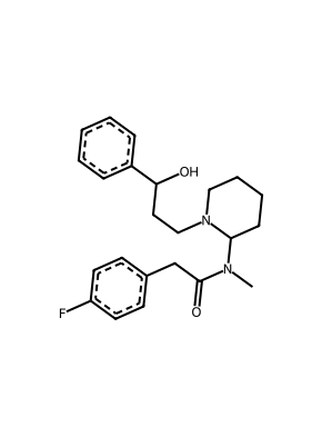 CN(C(=O)Cc1ccc(F)cc1)C1CCCCN1CCC(O)c1ccccc1